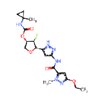 Cn1nc(OCC(F)(F)F)cc1C(=O)Nc1cc([C@H]2OC[C@@H](OC(=O)NC3(C)CC3)[C@H]2F)[nH]n1